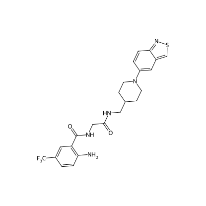 Nc1ccc(C(F)(F)F)cc1C(=O)NCC(=O)NCC1CCN(c2ccc3nscc3c2)CC1